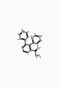 NC(=O)c1cccc(-c2ccncn2)c1-c1ccncn1